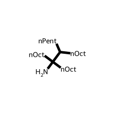 CCCCCCCCC(CCCCC)C(N)(CCCCCCCC)CCCCCCCC